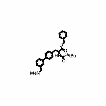 CNCc1cccc(-c2ccc(CC(NC(=O)OC(C)(C)C)C(=O)OCc3ccccc3)cc2)c1